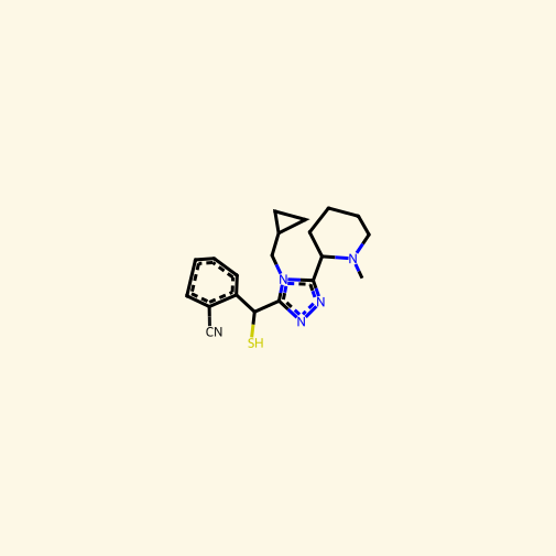 CN1CCCCC1c1nnc(C(S)c2ccccc2C#N)n1CC1CC1